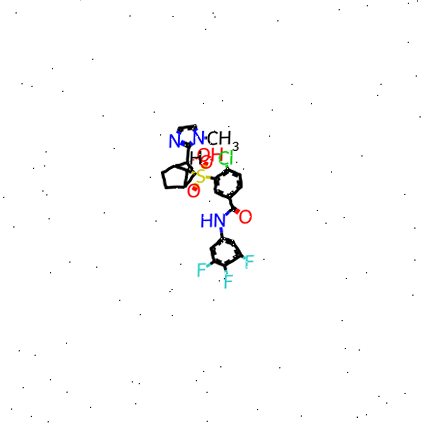 Cn1ccnc1[C@@]1(O)CC2CCC1[C@@H]2S(=O)(=O)c1cc(C(=O)Nc2cc(F)c(F)c(F)c2)ccc1Cl